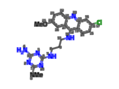 CNc1nc(N)nc(NCCCNc2c3ccc(Cl)cc3nc3ccc(OC)cc23)n1